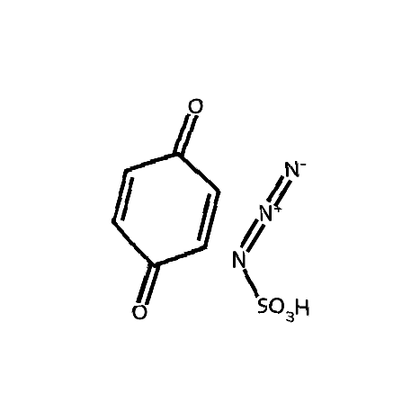 O=C1C=CC(=O)C=C1.[N-]=[N+]=NS(=O)(=O)O